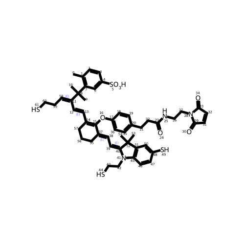 Cc1ccc(S(=O)(=O)O)cc1C(C)(C)C(/C=C/C1=C(Oc2ccc(CCC(=O)NCCN3C(=O)C=CC3=O)cc2)C(=C/C=C2/N(CCS)c3ccc(S)cc3C2(C)C)/CCC1)=C/CCS